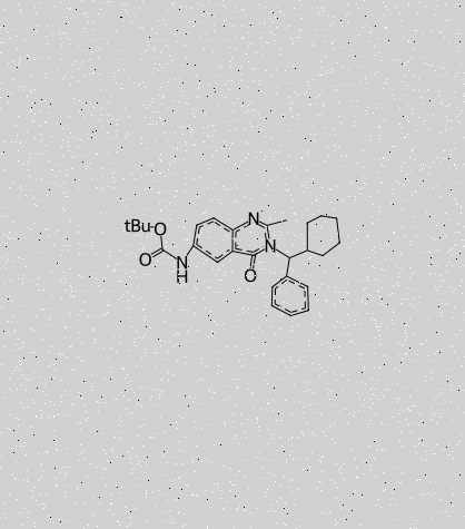 Cc1nc2ccc(NC(=O)OC(C)(C)C)cc2c(=O)n1C(c1ccccc1)C1CCCCC1